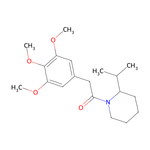 COc1cc(CC(=O)N2CCCCC2C(C)C)cc(OC)c1OC